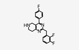 Fc1ccc(-c2nc(Cc3cccc(F)c3F)nc3c2CNCC3)cc1